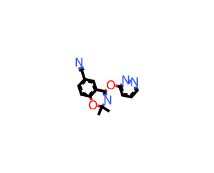 CC1(C)N=C(Oc2cccnn2)c2cc(C#N)ccc2O1